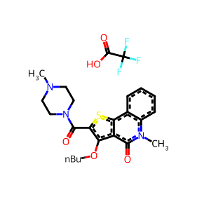 CCCCOc1c(C(=O)N2CCN(C)CC2)sc2c1c(=O)n(C)c1ccccc21.O=C(O)C(F)(F)F